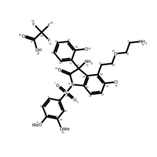 COc1ccc(S(=O)(=O)N2C(=O)C(N)(c3ccccc3Cl)c3c2ccc(Cl)c3CCOCCN)cc1OC.O=C(O)C(F)(F)F